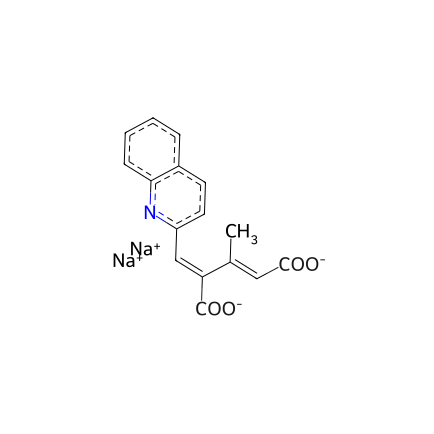 CC(=C\C(=O)[O-])/C(=C\c1ccc2ccccc2n1)C(=O)[O-].[Na+].[Na+]